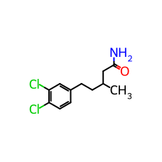 CC(CCc1ccc(Cl)c(Cl)c1)CC(N)=O